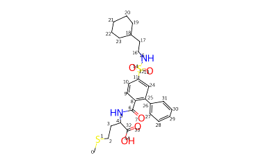 CSCCC(NC(=O)c1ccc(S(=O)(=O)NCCC2CCCCC2)cc1-c1ccccc1)C(=O)O